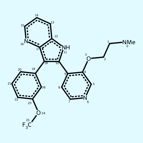 CNCCOc1cnccc1-c1[nH]c2cccnc2c1-c1cccc(OC(F)(F)F)c1